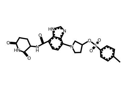 Cc1ccc(S(=O)(=O)OC2CCN(c3ccc(C(=O)NC4CCC(=O)NC4=O)c4[nH]cnc34)C2)cc1